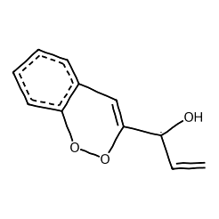 C=C[C](O)C1=Cc2ccccc2OO1